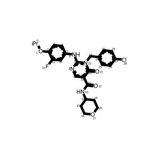 CC(C)Oc1ccc(Nc2ncc(C(=O)NC3CCOCC3)c(=O)n2Cc2ccc(Cl)cc2)cc1F